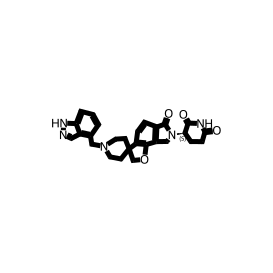 O=C1CC[C@H](N2Cc3c(ccc4c3OCC43CCN(Cc4cccc5[nH]ncc45)CC3)C2=O)C(=O)N1